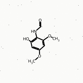 COc1cc(O)c(N[C]=O)c(OC)c1